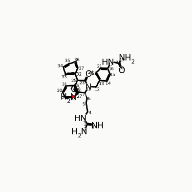 N=C(N)NCCC[C@@H](C(N)=O)N(Cc1ccc(NC(N)=O)cc1)C(=O)C(c1ccccc1)c1ccccc1